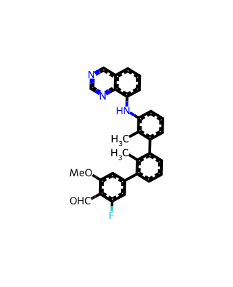 COc1cc(-c2cccc(-c3cccc(Nc4cccc5cncnc45)c3C)c2C)cc(F)c1C=O